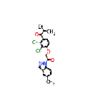 C=C(CC)C(=O)c1ccc(OCC(=O)n2ncc3cc(C)ccc32)c(Cl)c1Cl